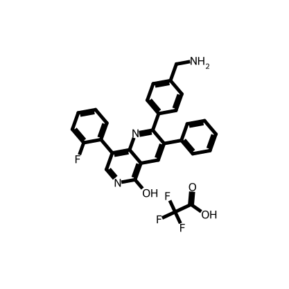 NCc1ccc(-c2nc3c(-c4ccccc4F)cnc(O)c3cc2-c2ccccc2)cc1.O=C(O)C(F)(F)F